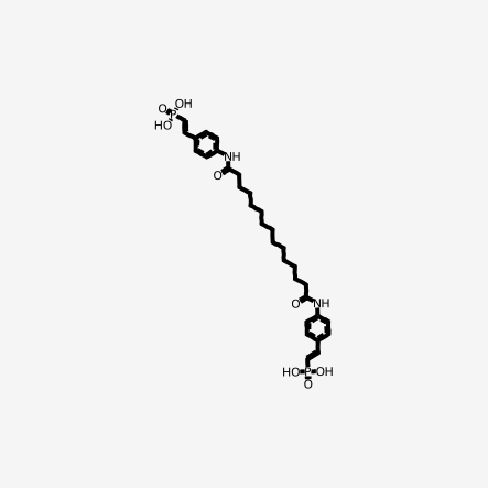 O=C(CCCCCCCCCCCCCC(=O)Nc1ccc(C=CP(=O)(O)O)cc1)Nc1ccc(C=CP(=O)(O)O)cc1